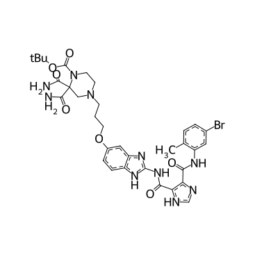 Cc1ccc(Br)cc1NC(=O)c1nc[nH]c1C(=O)Nc1nc2cc(OCCCN3CCN(C(=O)OC(C)(C)C)C(C(N)=O)(C(N)=O)C3)ccc2[nH]1